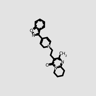 Cc1nc2n(c(=O)c1CCN1C=CC(c3noc4ccccc34)=CC1)CCCC2